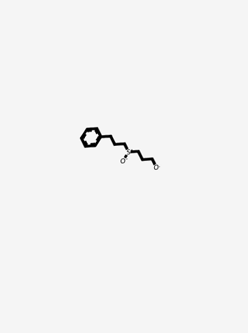 [O]CCC[S+]([O-])CCCc1ccccc1